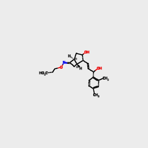 Cc1ccc(C(O)C=CC2C(O)C[C@@H]3C(=NOCCC(=O)O)C[C@@H]23)c(C)c1